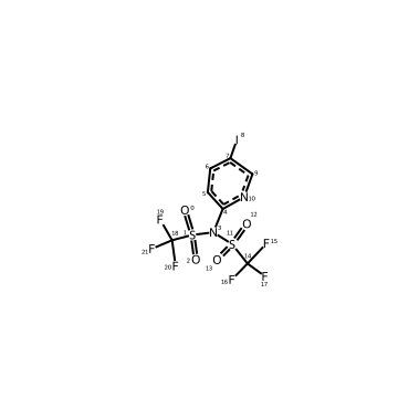 O=S(=O)(N(c1ccc(I)cn1)S(=O)(=O)C(F)(F)F)C(F)(F)F